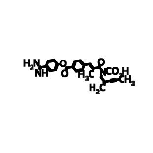 C=C(C#CC)CN(C(=O)O)C(=O)/C(C)=C/c1ccc(C(=O)Oc2ccc(C(=N)N)cc2)cc1